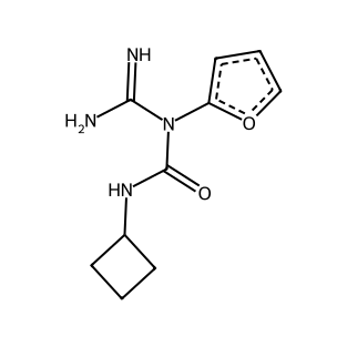 N=C(N)N(C(=O)NC1CCC1)c1ccco1